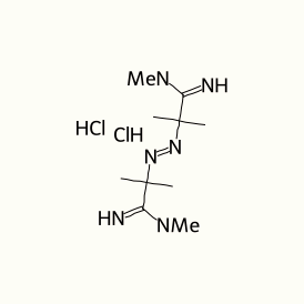 CNC(=N)C(C)(C)/N=N/C(C)(C)C(=N)NC.Cl.Cl